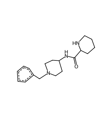 O=C(NC1CCN(Cc2ccccc2)CC1)C1CCCCN1